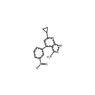 Nc1n[nH]c2nc(C3CC3)cc(-c3cccc([N+](=O)[O-])c3)c12